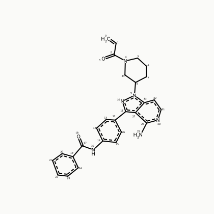 C=CC(=O)N1CCCC(n2nc(-c3ccc(NC(=O)c4ccccc4)cc3)c3c(N)nccc32)C1